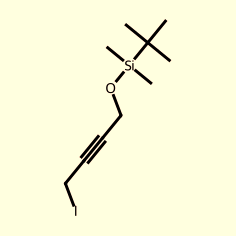 CC(C)(C)[Si](C)(C)OCC#CCI